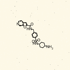 NC1CCC(NS(=O)(=O)c2ccc(CNC(=O)c3cc4ccncc4o3)cc2)CC1